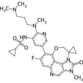 CN(C)CCCN(C)c1ncc(-c2c(F)cc3ncc4c5c3c2OCC2(CC2)n5c(=O)n4C)cc1NS(=O)(=O)C1CC1